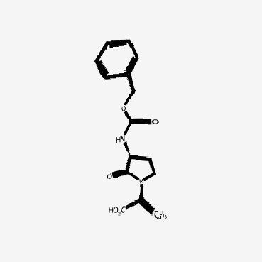 C=C(C(=O)O)N1CC[C@H](NC(=O)OCc2ccccc2)C1=O